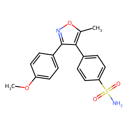 COc1ccc(-c2noc(C)c2-c2ccc(S(N)(=O)=O)cc2)cc1